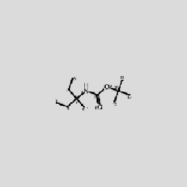 [CH2]C(CC)(CC)NC(=O)OC(C)(C)C